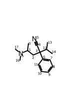 CC(CC(C#N)(c1ccccc1)C(C)C)N(C)C